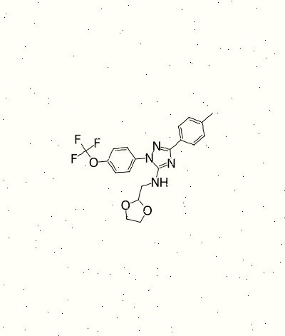 Cc1ccc(-c2nc(NCC3OCCO3)n(-c3ccc(OC(F)(F)F)cc3)n2)cc1